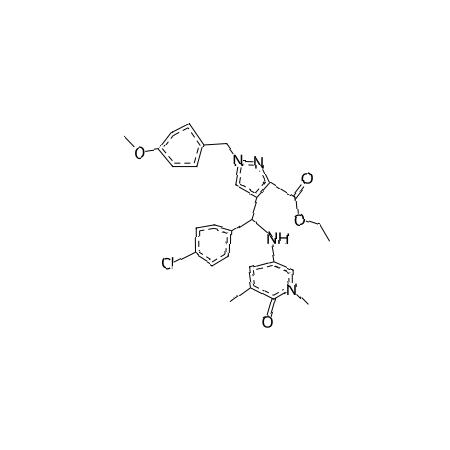 CCOC(=O)c1nn(Cc2ccc(OC)cc2)cc1C(Nc1cc(C)c(=O)n(C)c1)c1ccc(Cl)cc1